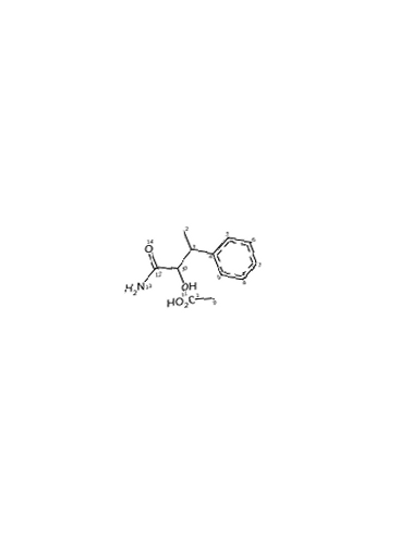 CC(=O)O.CC(c1ccccc1)C(O)C(N)=O